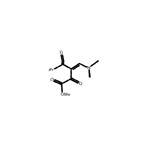 COC(=O)C(=O)/C(=C\N(C)C)C(=O)C(C)C